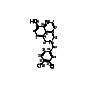 Oc1ccc2c3c(ccnc13)CN(Cc1ccc(Cl)c(Cl)c1)C2